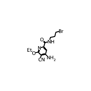 CCOc1nc(C(=O)NCCCBr)cc(N)c1C#N